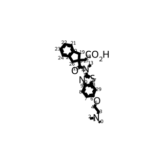 CN(C)CCOc1ccc2nc(N(C)C(=O)C3(CC(=O)O)Cc4ccccc4C3)sc2c1